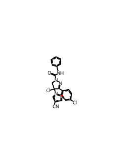 N#Cc1cnn(C2(Cl)CN(C(=O)Nc3ccccc3)N=C2c2ccc(Cl)cc2)c1